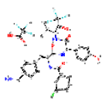 COc1ccc([C@H](NC(=O)[C@H](Cc2ccc(CN)cc2)NC(=O)c2cccc(Cl)c2)C(=O)N[C@H](C(=O)C(F)(F)F)C(C)C)cc1.O=C(O)C(F)(F)F